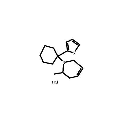 CC1CC=CCN1C1(c2cccs2)CCCCC1.Cl